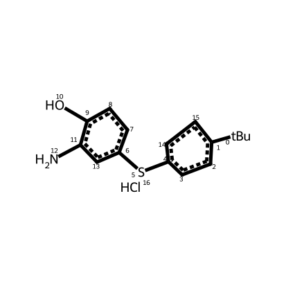 CC(C)(C)c1ccc(Sc2ccc(O)c(N)c2)cc1.Cl